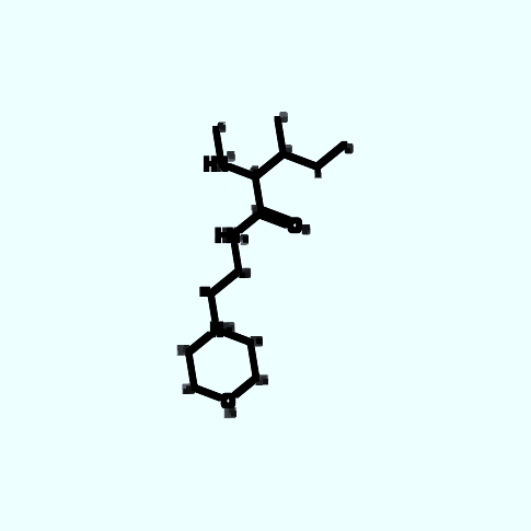 CCC(C)C(NC)C(=O)NCCN1CCOCC1